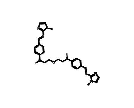 CN(CCOCCN(C)c1ccc(N=Nc2nccn2C)cc1)c1ccc(N=Nc2nccn2C)cc1